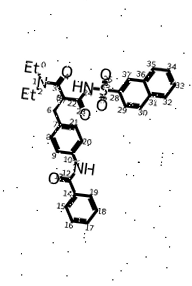 CCN(CC)C(=O)[C@H](Cc1ccc(NC(=O)c2ccccc2)cc1)C(=O)NS(=O)(=O)c1ccc2ccccc2c1